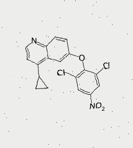 O=[N+]([O-])c1cc(Cl)c(Oc2ccc3nccc(C4CC4)c3c2)c(Cl)c1